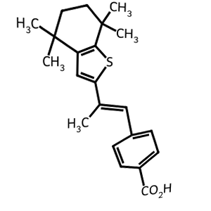 CC(=Cc1ccc(C(=O)O)cc1)c1cc2c(s1)C(C)(C)CCC2(C)C